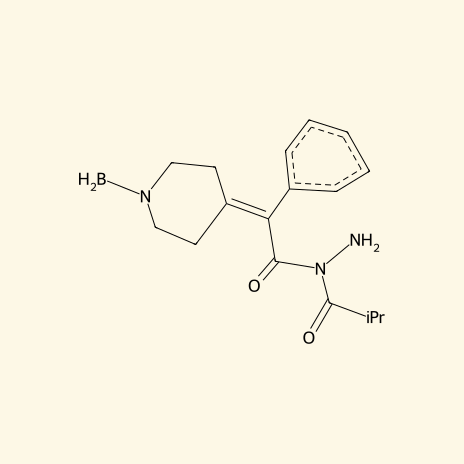 BN1CCC(=C(C(=O)N(N)C(=O)C(C)C)c2ccccc2)CC1